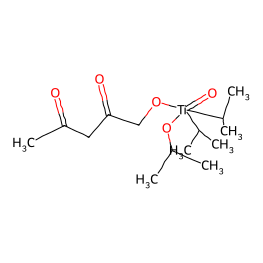 CC(=O)CC(=O)C[O][Ti](=[O])([O]C(C)C)([CH](C)C)[CH](C)C